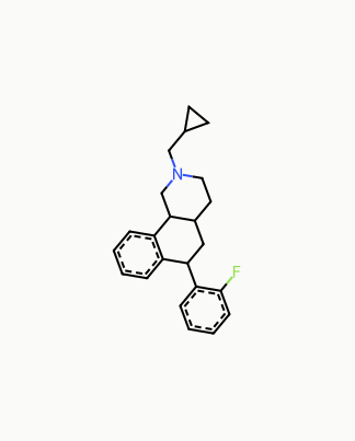 Fc1ccccc1C1CC2CCN(CC3CC3)CC2c2ccccc21